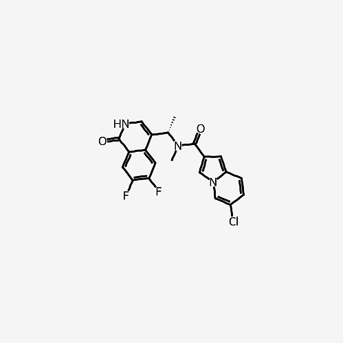 C[C@@H](c1c[nH]c(=O)c2cc(F)c(F)cc12)N(C)C(=O)c1cc2ccc(Cl)cn2c1